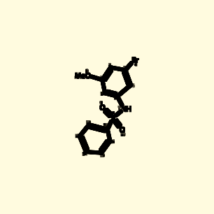 COc1cc(Br)cc(NS(=O)(=O)c2ccccc2)c1